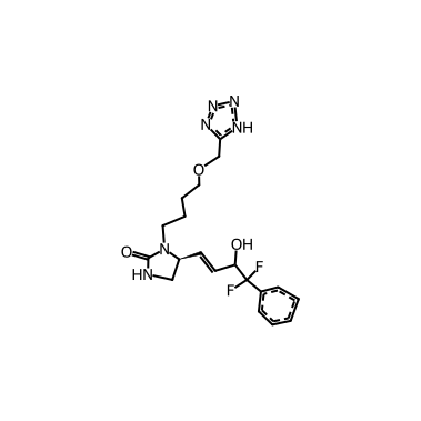 O=C1NC[C@H](C=CC(O)C(F)(F)c2ccccc2)N1CCCCOCc1nnn[nH]1